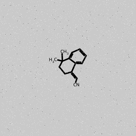 CC1(C)CCC(=CC#N)c2ccccc21